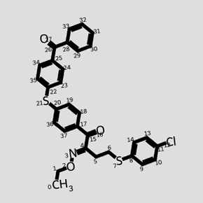 CCO/N=C(\CCSc1ccc(Cl)cc1)C(=O)c1ccc(Sc2ccc(C(=O)c3ccccc3)cc2)cc1